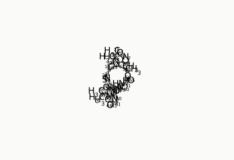 CCn1c(-c2cccnc2[C@H](C)OC)c2c3cc(ccc31)-c1csc(n1)C[C@H](NC(=O)C(C(C)C)N(C)C(=O)N1CCC13COC3)C(=O)N1CCC[C@H](N1)C(=O)OCC(C)(C)C2